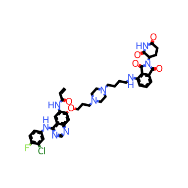 C=CC(=O)Nc1cc2c(Nc3ccc(F)c(Cl)c3)ncnc2cc1OCCCN1CCN(CCCCNc2cccc3c2C(=O)N(C2CCC(=O)NC2=O)C3=O)CC1